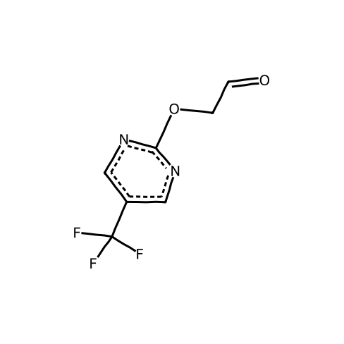 O=CCOc1ncc(C(F)(F)F)cn1